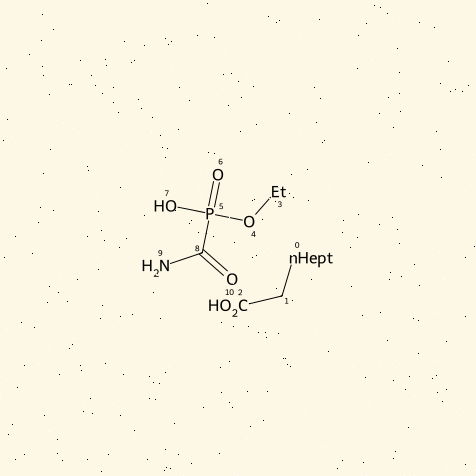 CCCCCCCCC(=O)O.CCOP(=O)(O)C(N)=O